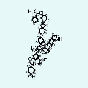 CC(C)c1ccccc1[C@@H]1CCCN1C1CC2(CCN(c3ccc(C(=O)NS(=O)(=O)c4cc5c(c([N+](=O)[O-])c4)N[C@H](C4CCC(O)CC4)CO5)c(N4c5cc6cc[nH]c6nc5O[C@@H]5COC[C@H]54)c3)CC2)C1